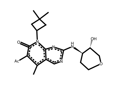 CC(=O)c1c(C)c2cnc(N[C@@H]3CCOC[C@H]3O)nc2n(C2CC(C)(C)C2)c1=O